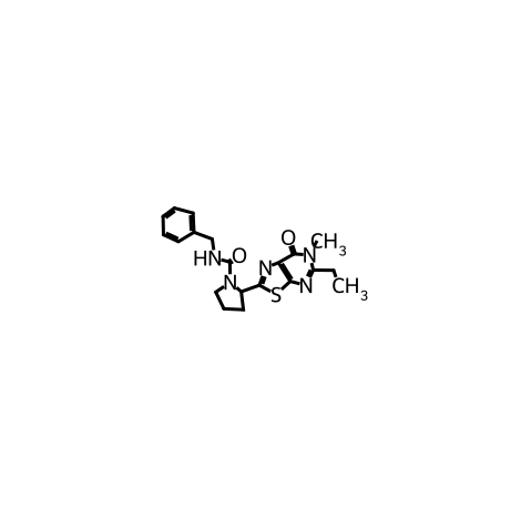 CCc1nc2sc(C3CCCN3C(=O)NCc3ccccc3)nc2c(=O)n1C